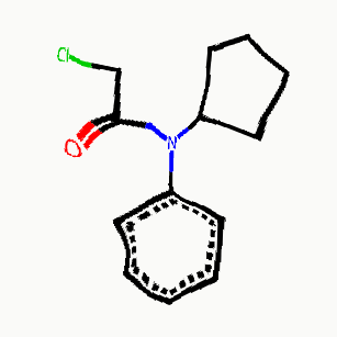 O=C(CCl)N(c1ccccc1)C1CCCC1